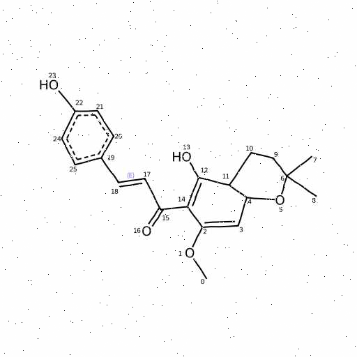 COC1=CC2OC(C)(C)CCC2C(O)=C1C(=O)/C=C/c1ccc(O)cc1